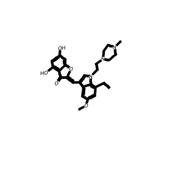 CCc1cc(OC)cc2c(/C=C3\Oc4cc(O)cc(O)c4C3=O)cn(CCN3CCN(C)CC3)c12